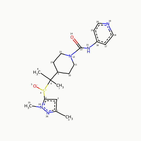 Cc1cc([S+]([O-])C(C)(C)C2CCN(C(=O)Nc3ccncc3)CC2)n(C)n1